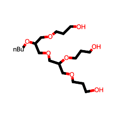 CCCCOC(COCCCO)COCC(COCCCO)OCCCO